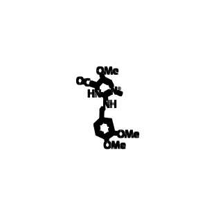 COC1=C[N+](C)=C(NCc2ccc(OC)c(OC)c2)NC1=C=O